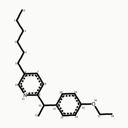 CCCCCCc1ccc(C(C)c2ccc(OCC)cc2)nc1